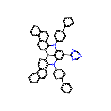 c1ccc(-c2ccc(N3c4cc(-c5ncncn5)cc5c4B(c4ccc6c(ccc7ccccc76)c43)c3ccc4c(ccc6ccccc64)c3N5c3ccc(-c4ccccc4)cc3)cc2)cc1